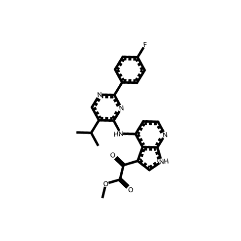 COC(=O)C(=O)c1c[nH]c2nccc(Nc3nc(-c4ccc(F)cc4)ncc3C(C)C)c12